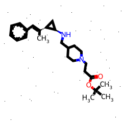 C/C(=C\c1ccccc1)[C@@H]1C[C@H]1NCC1CCN(CCC(=O)OC(C)(C)C)CC1